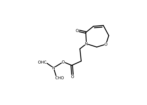 O=CN(C=O)OC(=O)CCN1COCC=CC1=O